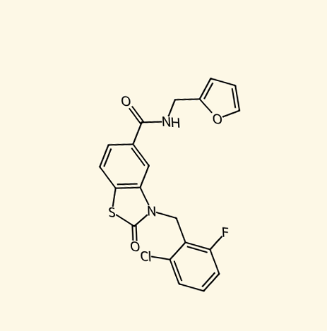 O=C(NCc1ccco1)c1ccc2sc(=O)n(Cc3c(F)cccc3Cl)c2c1